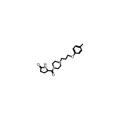 Cc1ccc(OCCCN2CCN(C(=O)C3CCC(=O)N3)CC2)cc1